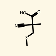 CSCC(C)(C#N)C(=O)O